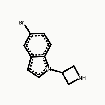 Brc1ccc2c(ccn2C2CNC2)c1